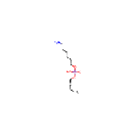 CC=C=COP(=O)(O)OCCCCCCN